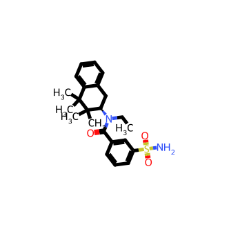 CCN(C(=O)c1cccc(S(N)(=O)=O)c1)[C@@H]1Cc2ccccc2C(C)(C)C1(C)C